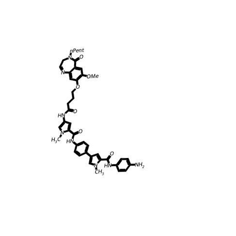 CCCCCN1CC=Nc2cc(OCCCC(=O)Nc3cc(C(=O)Nc4ccc(-c5cc(C(=O)Nc6ccc(N)cc6)n(C)c5)cc4)n(C)c3)c(OC)cc2C1=O